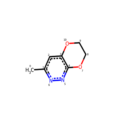 Cc1cc2c(nn1)OCCO2